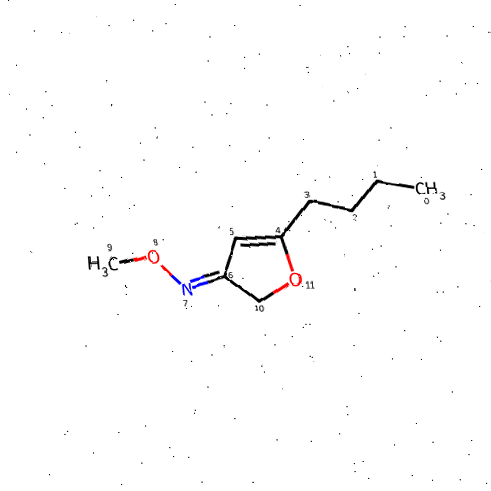 CCCCC1=CC(=NOC)CO1